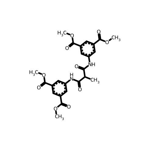 COC(=O)c1cc(NC(=O)C(C)C(=O)Nc2cc(C(=O)OC)cc(C(=O)OC)c2)cc(C(=O)OC)c1